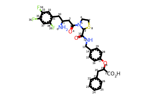 NC(CC(=O)N1CCSC1C(=O)NCc1ccc(OC(Cc2ccccc2)C(=O)O)cc1)Cc1cc(F)c(F)cc1F